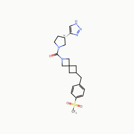 O=C(N1CC[C@H](c2c[nH]nn2)C1)N1CC2(CC(Cc3ccc(S(=O)(=O)C(F)(F)F)cc3)C2)C1